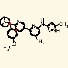 COc1ccc(CN2C3CC2CN(c2ccc(-c4cc(C)cc(Nc5cc(C)[nH]n5)n4)cn2)C3)cc1